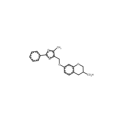 Cc1oc(-c2ccccc2)nc1COc1ccc2c(c1)OCC(C(=O)O)C2